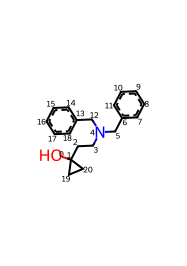 OC1(CCN(Cc2ccccc2)Cc2ccccc2)CC1